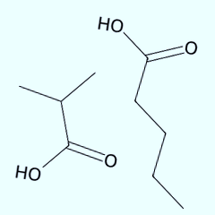 CC(C)C(=O)O.CCCCC(=O)O